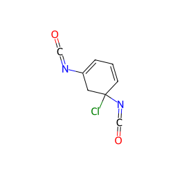 O=C=NC1=CC=CC(Cl)(N=C=O)C1